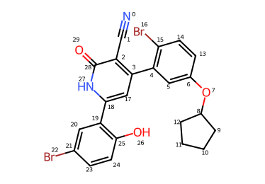 N#Cc1c(-c2cc(OC3CCCC3)ccc2Br)cc(-c2cc(Br)ccc2O)[nH]c1=O